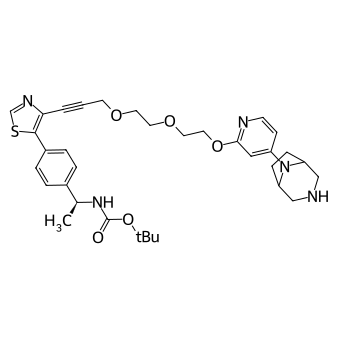 C[C@H](NC(=O)OC(C)(C)C)c1ccc(-c2scnc2C#CCOCCOCCOc2cc(N3C4CCC3CNC4)ccn2)cc1